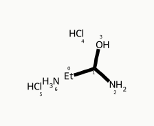 CCC(N)O.Cl.Cl.N